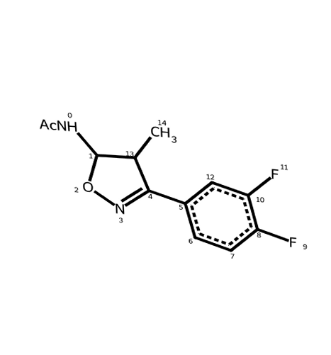 CC(=O)NC1ON=C(c2ccc(F)c(F)c2)C1C